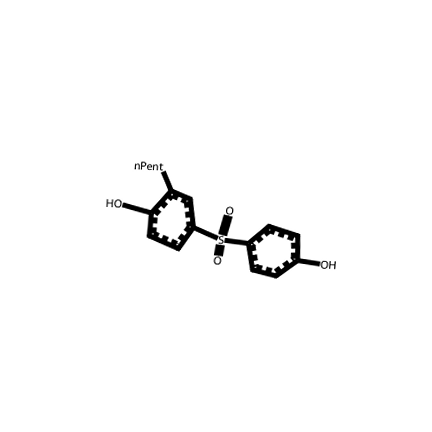 CCCCCc1cc(S(=O)(=O)c2ccc(O)cc2)ccc1O